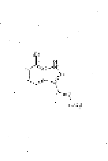 O=C(O)C=Cc1c[nH]c2c(Br)cccc12